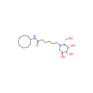 O=C(CCCCCN1C[C@H](O)[C@@H](O)[C@@H](O)[C@H]1CO)NC1CCCCCCCC1